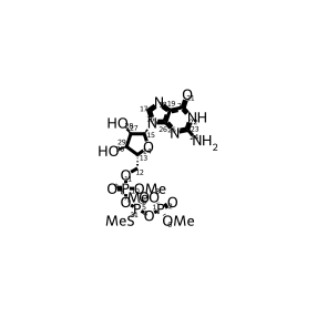 COP(=O)(OC)OP(=O)(OP(=O)(OC)OC[C@H]1O[C@@H](n2cnc3c(=O)[nH]c(N)nc32)[C@H](O)[C@@H]1O)SC